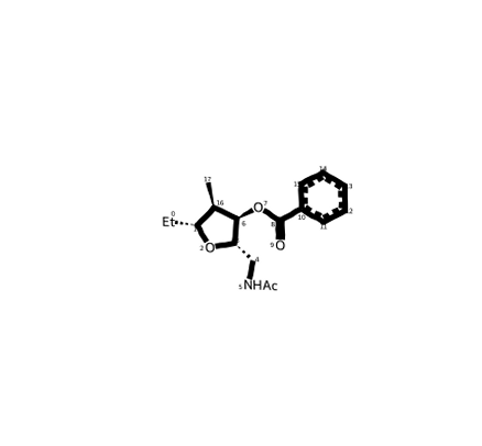 CC[C@H]1O[C@@H](CNC(C)=O)[C@H](OC(=O)c2ccccc2)[C@@H]1C